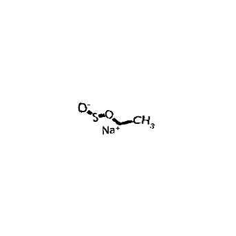 CCOS[O-].[Na+]